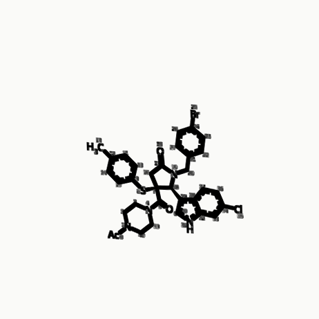 CC(=O)N1CCN(C(=O)[C@]2(Sc3ccc(C)cc3)CC(=O)N(Cc3ccc(Br)cc3)[C@H]2c2c[nH]c3cc(Cl)ccc23)CC1